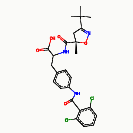 CC(C)(C)C1=NO[C@](C)(C(=O)NC(Cc2ccc(NC(=O)c3c(Cl)cccc3Cl)cc2)C(=O)O)C1